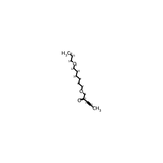 CC#CC(=O)COCCCCCCOCCC